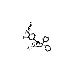 CC(C)CC(C#Cc1ccc(N=C=S)c(F)c1)(c1ccccc1)c1ccccc1